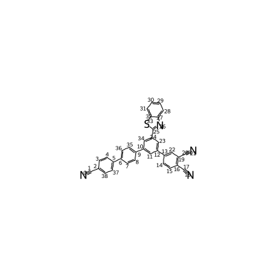 N#Cc1ccc(-c2ccc(-c3cc(-c4ccc(C#N)c(C#N)c4)cc(-c4nc5ccccc5s4)c3)cc2)cc1